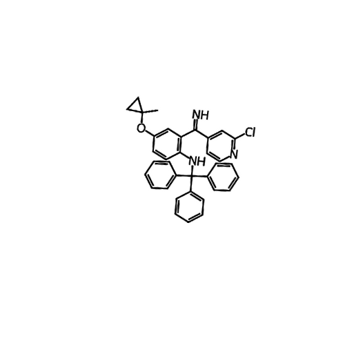 CC1(Oc2ccc(NC(c3ccccc3)(c3ccccc3)c3ccccc3)c(C(=N)c3ccnc(Cl)c3)c2)CC1